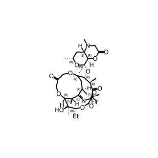 CCC(=O)/N=C1\[C@H](C)C[C@@]2(C)OCC(=O)CO[C@H]([C@H]1C)[C@](C)(O)[C@@H](CC)OC(=O)[C@@](C)(F)C(=O)[C@H](C)[C@H]2O[C@@H]1O[C@H](C)C[C@H]2[C@H]1OC(=O)CN2C